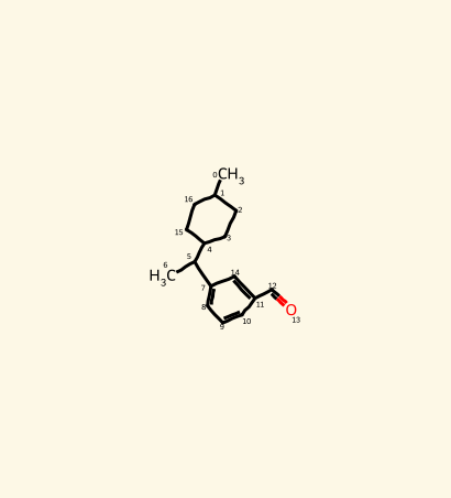 CC1CCC(C(C)c2cccc(C=O)c2)CC1